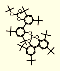 CC(C)(C)OC(=O)Oc1c(-c2cc(C(C)(C)C)cc(C(C)(C)C)c2Op2oc3c(C(C)(C)C)cc(C(C)(C)C)cc3c3cc(C(C)(C)C)cc(C(C)(C)C)c3o2)cc(C(C)(C)C)cc1C(C)(C)C